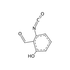 O=C=Nc1cccc(O)c1C=O